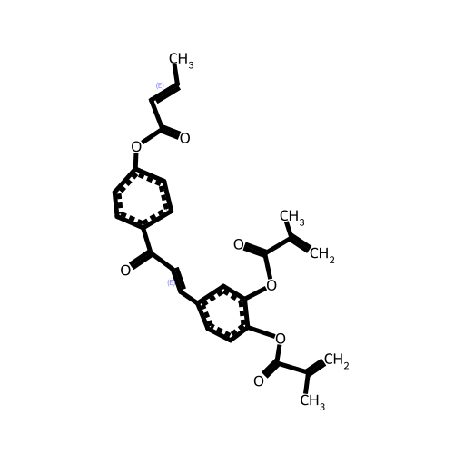 C=C(C)C(=O)Oc1ccc(/C=C/C(=O)c2ccc(OC(=O)/C=C/C)cc2)cc1OC(=O)C(=C)C